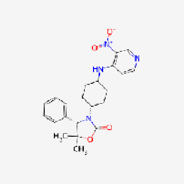 CC1(C)OC(=O)N([C@H]2CC[C@H](Nc3ccncc3[N+](=O)[O-])CC2)[C@H]1c1ccccc1